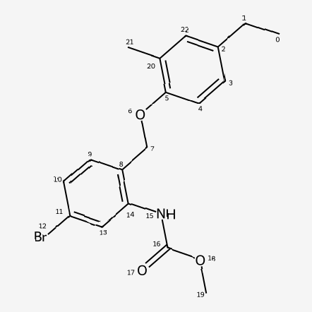 CCc1ccc(OCc2ccc(Br)cc2NC(=O)OC)c(C)c1